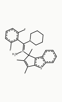 CC1=C(C)[C](C)([Ti]([NH2])=[C](c2c(F)cccc2F)N2CCCCC2)c2c1sc1ccccc21